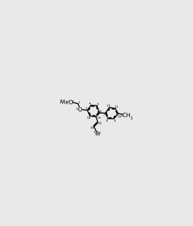 COCOc1ccc(-c2ccc(C)cc2)c(C=CBr)c1